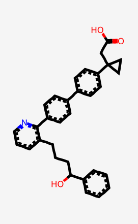 O=C(O)CC1(c2ccc(-c3ccc(-c4ncccc4CCCC(O)c4ccccc4)cc3)cc2)CC1